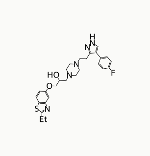 CCc1nc2cc(OCC(O)CN3CCN(CCc4n[nH]cc4-c4ccc(F)cc4)CC3)ccc2s1